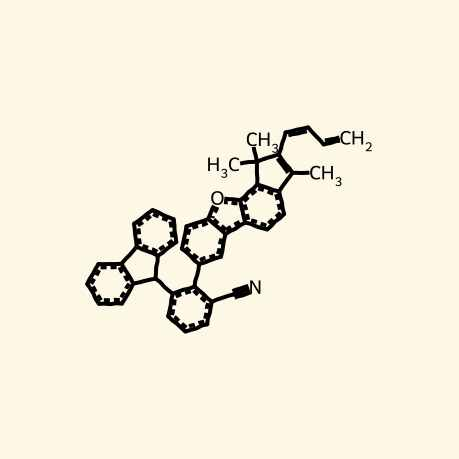 C=C/C=C\C1=C(C)c2ccc3c(oc4ccc(-c5c(C#N)cccc5C5c6ccccc6-c6ccccc65)cc43)c2C1(C)C